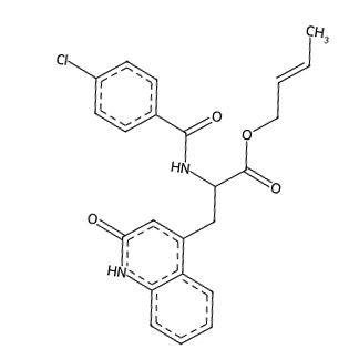 CC=CCOC(=O)C(Cc1cc(=O)[nH]c2ccccc12)NC(=O)c1ccc(Cl)cc1